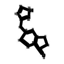 O=C1CCc2cc(Cc3nc[nH]n3)ccc21